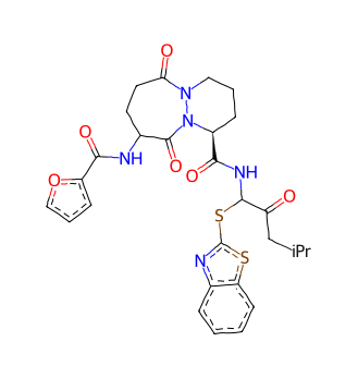 CC(C)CC(=O)C(NC(=O)[C@@H]1CCCN2C(=O)CCC(NC(=O)c3ccco3)C(=O)N12)Sc1nc2ccccc2s1